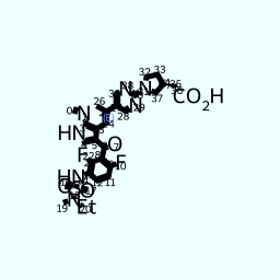 C=Nc1[nH]cc(C(=O)c2c(F)ccc(NS(=O)(=O)N(C)CC)c2F)c1/C=C(\C)c1cnc(N2CC[C@@H](CC(=O)O)C2)nc1